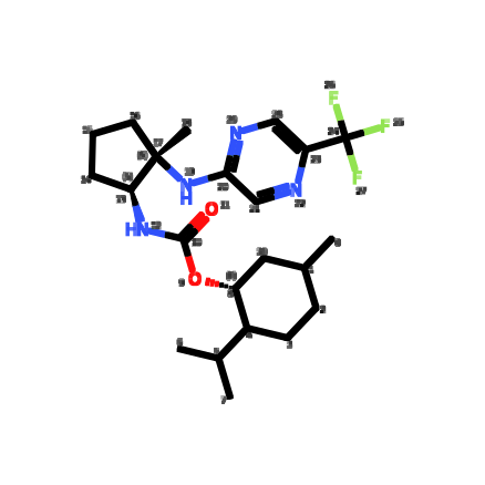 CC1CCC(C(C)C)[C@H](OC(=O)N[C@H]2CCC[C@]2(C)Nc2cnc(C(F)(F)F)cn2)C1